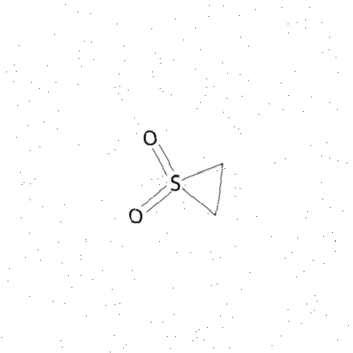 O=S1(=O)CC1